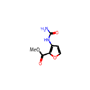 COC(=O)c1occc1NC(N)=O